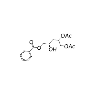 CC(=O)OC[C@H](C[C@@H](O)COC(=O)c1ccccc1)OC(C)=O